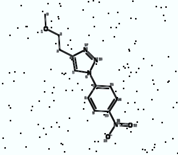 COCCc1cn(-c2ccc([N+](=O)[O-])cc2)nn1